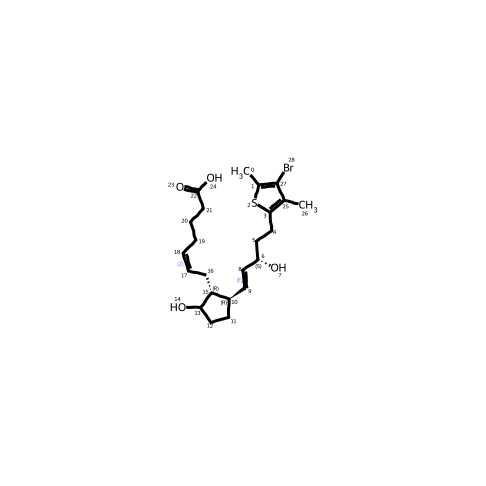 Cc1sc(CC[C@H](O)/C=C/[C@H]2CCC(O)[C@@H]2C/C=C\CCCC(=O)O)c(C)c1Br